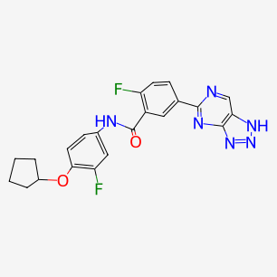 O=C(Nc1ccc(OC2CCCC2)c(F)c1)c1cc(-c2ncc3[nH]nnc3n2)ccc1F